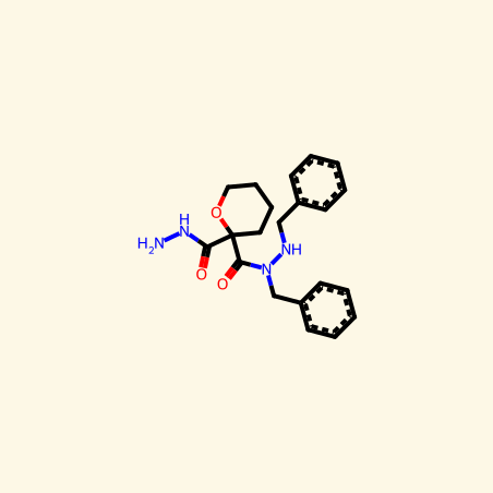 NNC(=O)C1(C(=O)N(Cc2ccccc2)NCc2ccccc2)CCCCO1